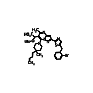 C=C/C=C/C1(C)CCN(c2c(C(OC(C)(C)C)C(=O)O)c(C)nc3cc(-c4ncc(Cc5ccccc5Br)s4)nn23)CC1